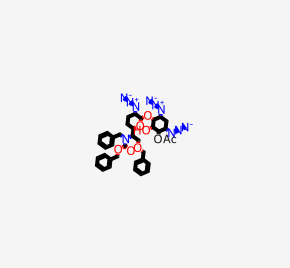 CC(=O)OC1C(N=[N+]=[N-])CC(N=[N+]=[N-])C(OC2OC(C(COCc3ccccc3)N(Cc3ccccc3)C(=O)OCc3ccccc3)CCC2N=[N+]=[N-])C1O